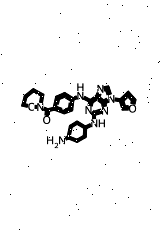 NC1CCC(Nc2nc(Nc3ccc(C(=O)N4CCCCC4)cc3)c3ncn(-c4ccoc4)c3n2)CC1